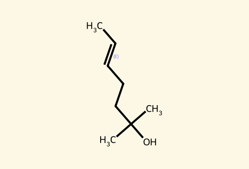 C/C=C/CCC(C)(C)O